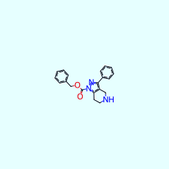 O=C(OCc1ccccc1)n1nc(-c2ccccc2)c2c1CCNC2